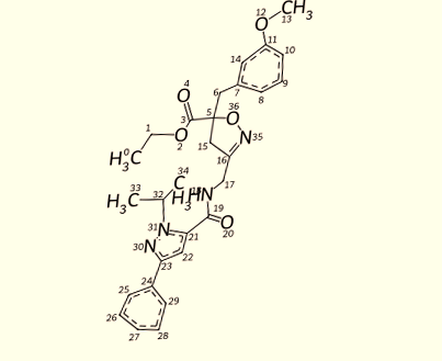 CCOC(=O)C1(Cc2cccc(OC)c2)CC(CNC(=O)c2cc(-c3ccccc3)nn2C(C)C)=NO1